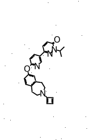 CC(C)n1nc(-c2ccc(Oc3ccc4c(c3)CCN(C3=CC=C3)CC4)nc2)ccc1=O